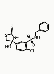 CN1C(=S)SCC1(O)c1ccc(Cl)c(S(=O)(=O)NCc2ccccc2)c1